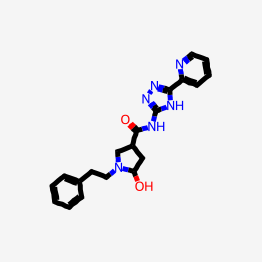 O=C(Nc1nnc(-c2ccccn2)[nH]1)C1CC(O)N(CCc2ccccc2)C1